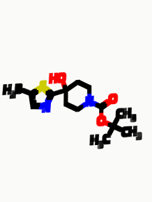 Bc1cnc(C2(O)CCN(C(=O)OC(C)(C)C)CC2)s1